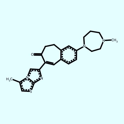 Cc1csc2nc(C3=Cc4ccc(N5CCCN(C)CC5)cc4CCC3=O)cn12